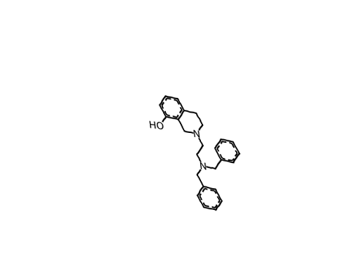 Oc1cccc2c1CN(CCN(Cc1ccccc1)Cc1ccccc1)CC2